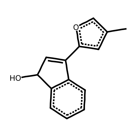 Cc1coc(C2=CC(O)c3ccccc32)c1